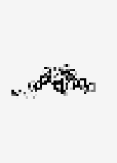 COC(=O)Cc1ccc(OC)c(Oc2ccc(Br)cc2CN2C(=O)O[C@@H](c3ccc(Cl)cc3)[C@H]2C)c1